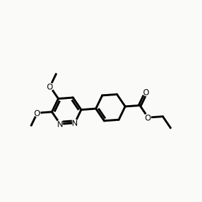 CCOC(=O)C1CC=C(c2cc(OC)c(OC)nn2)CC1